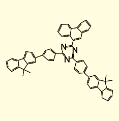 CC1(C)c2ccccc2-c2ccc(-c3ccc(-c4nc(-c5ccc(-c6ccc7c(c6)C(C)(C)c6ccccc6-7)cc5)nc(-c5cc6ccccc6c6ccccc56)n4)cc3)cc21